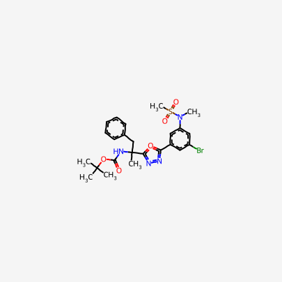 CN(c1cc(Br)cc(-c2nnc(C(C)(Cc3ccccc3)NC(=O)OC(C)(C)C)o2)c1)S(C)(=O)=O